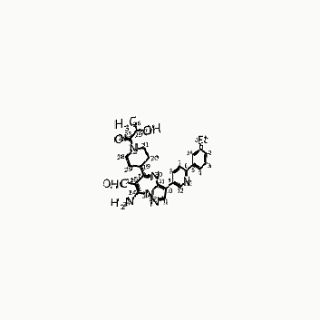 CCc1cccc(-c2ccc(-c3cnn4c(N)c(C=O)c(C5CCN(C(=O)[C@@H](C)O)CC5)nc34)cn2)c1